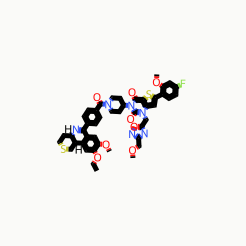 CCOc1cc2c(cc1OC)C(c1ccc(C(=O)N3CCC(n4c(=O)c5sc(-c6ccc(F)cc6OC)cc5n(Cc5nc(COC)no5)c4=O)CC3)cc1)=N[C@@H]1CCSC[C@H]21